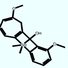 COC1=CC=CC2=C(C1)C1(O)c3c(OC)cccc3[SH]21(C)C